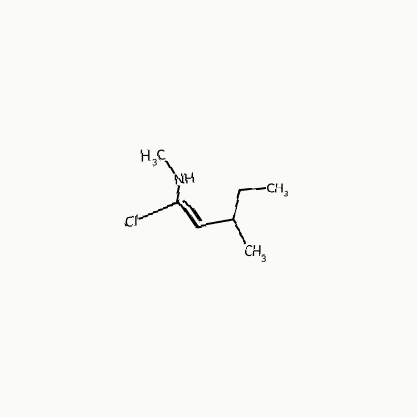 CCC(C)/C=C(/Cl)NC